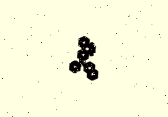 CC1(C)c2ccccc2-c2ccc(N(c3ccccc3)c3ccc4ccccc4c3)cc2C1(C)C